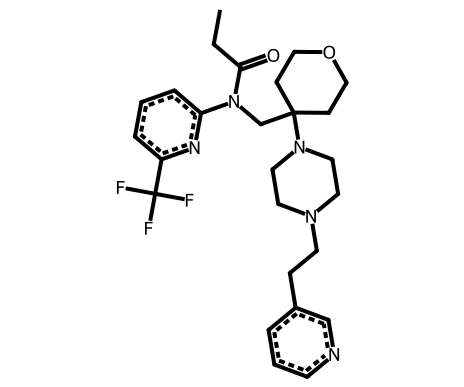 CCC(=O)N(CC1(N2CCN(CCc3cccnc3)CC2)CCOCC1)c1cccc(C(F)(F)F)n1